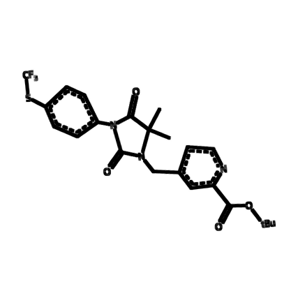 CC(C)(C)OC(=O)c1cc(CN2C(=O)N(c3ccc(SC(F)(F)F)cc3)C(=O)C2(C)C)ccn1